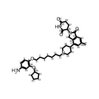 Nc1ccc(OCCCCCCCN2CCC(c3cc(F)cc4c3CN(C3CCC(=O)NC3=O)C4=O)CC2)c(OC2CCCC2)c1